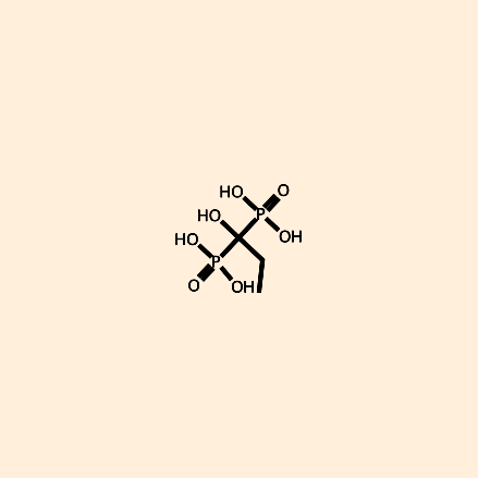 CCC(O)(P(=O)(O)O)P(=O)(O)O